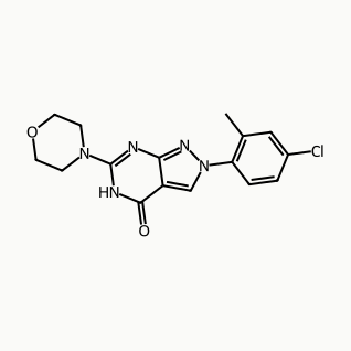 Cc1cc(Cl)ccc1-n1cc2c(=O)[nH]c(N3CCOCC3)nc2n1